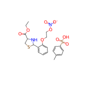 CCOC(=O)C1CSC(c2ccccc2OCCO[N+](=O)[O-])N1.Cc1ccc(S(=O)(=O)O)cc1